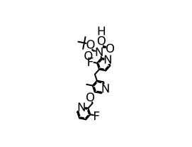 Cc1c(Cc2ccnc(N(C(=O)O)C(=O)OC(C)(C)C)c2F)cncc1OCc1ncccc1F